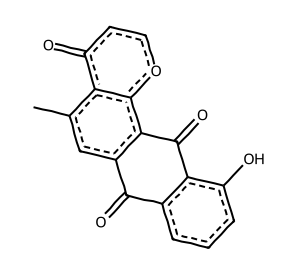 Cc1cc2c(c3occc(=O)c13)C(=O)c1c(O)cccc1C2=O